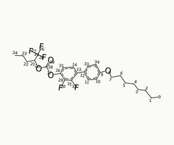 CCCCCCCCOc1ccc(-c2ccc(OC(=O)OC(CCC)C(F)(F)F)c(F)c2F)cc1